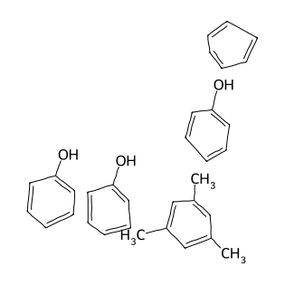 Cc1cc(C)cc(C)c1.Oc1ccccc1.Oc1ccccc1.Oc1ccccc1.c1ccccc1